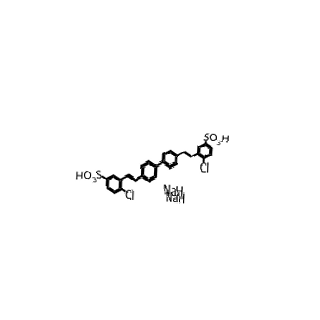 O=S(=O)(O)c1ccc(Cl)c(/C=C/c2ccc(-c3ccc(/C=C/c4cc(S(=O)(=O)O)ccc4Cl)cc3)cc2)c1.[NaH].[NaH]